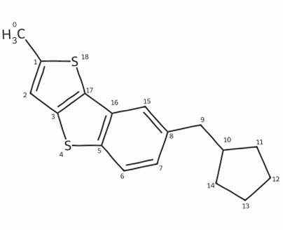 Cc1cc2sc3ccc(CC4CCCC4)cc3c2s1